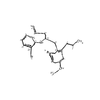 CCCc1cc(OC)cnc1CC(CC=N)NC1NC=CC=C1Br